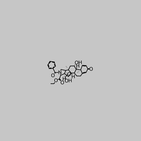 CCOC(=O)C1[C@@H]2C[C@H]3C4CCC5=CC(=O)C=C[C@]5(C)[C@H]4[C@@H](O)C[C@]3(C)[C@]2(C(=O)CO)CN1C(=O)c1ccccc1